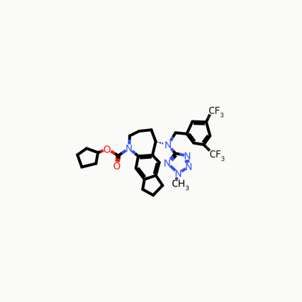 Cn1nnc(N(Cc2cc(C(F)(F)F)cc(C(F)(F)F)c2)[C@H]2CCCN(C(=O)OC3CCCC3)c3cc4c(cc32)CCC4)n1